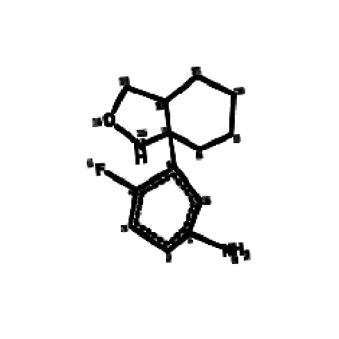 Nc1ccc(F)c(C23CCCCC2CON3)c1